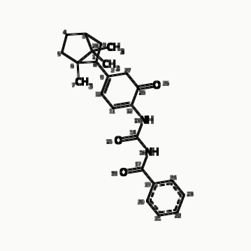 CC1(C)C2CCC1(C)C(C1=CC=C(NC(=O)NC(=O)c3ccccc3)C(=O)C1)C2